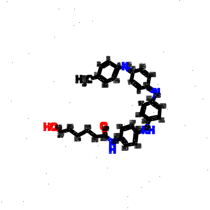 Cc1ccc(N=C2C=CC(=Nc3ccc(Nc4ccc(NC(=O)CCCCCO)cc4)cc3)C=C2)cc1